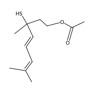 CC(=O)OCCC(C)(S)C=CC=C(C)C